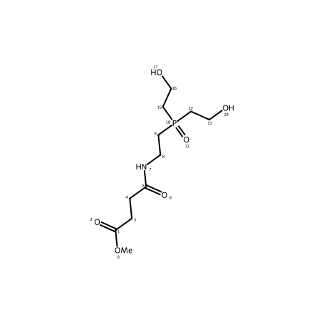 COC(=O)CCC(=O)NCCP(=O)(CCO)CCO